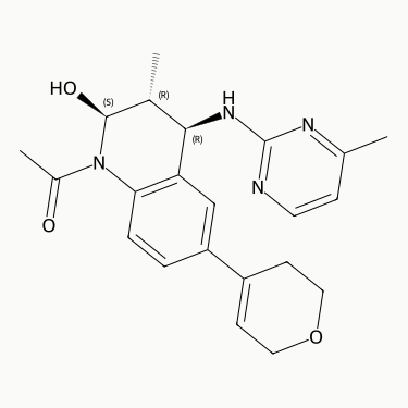 CC(=O)N1c2ccc(C3=CCOCC3)cc2[C@H](Nc2nccc(C)n2)[C@@H](C)[C@@H]1O